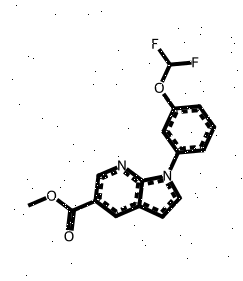 COC(=O)c1cnc2c(ccn2-c2cccc(OC(F)F)c2)c1